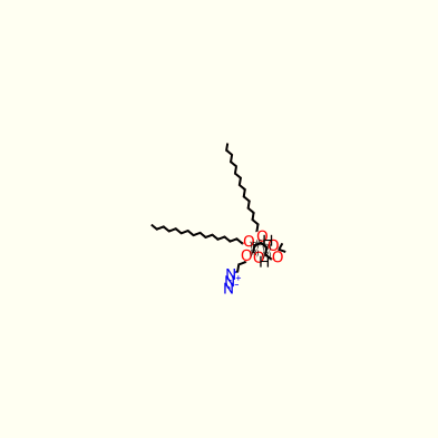 CCCCCCCCCCCCCCCCO[C@@H]1[C@@H](OCCCCCCCCCCCCCCCC)[C@H](OCCCN=[N+]=[N-])O[C@@H]2COC(C)(C)O[C@@H]12